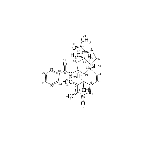 C=C1C(=C)[C@@]2(C)C(=CC1=O)C=C[C@@H]1[C@@H]2C(OC(=O)c2ccccc2)C[C@]2(C)C(C(C)=O)=CC[C@@H]12